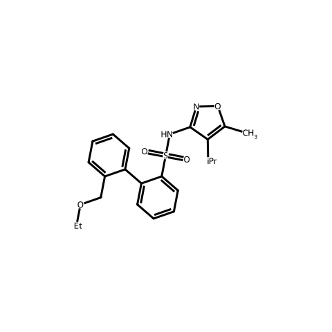 CCOCc1ccccc1-c1ccccc1S(=O)(=O)Nc1noc(C)c1C(C)C